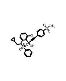 CS(=O)(=O)c1ccc(C#CC(O)(c2c(Cl)cccc2N(CC2CC2)S(=O)(=O)c2ccccc2)C(F)(F)F)cc1